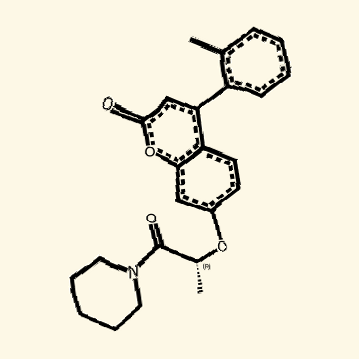 Cc1ccccc1-c1cc(=O)oc2cc(O[C@H](C)C(=O)N3CCCCC3)ccc12